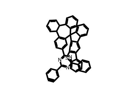 c1ccc(-c2nc(-c3ccccc3)nc(-c3ccc4c(c3)C3(c5ccccc5-c5cc6c(cc53)sc3ccccc36)c3ccccc3C3C=CC=CC43)n2)cc#1